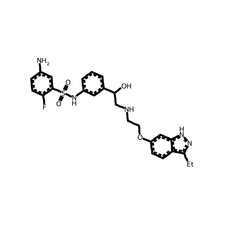 CCc1n[nH]c2cc(OCCNCC(O)c3cccc(NS(=O)(=O)c4cc(N)ccc4F)c3)ccc12